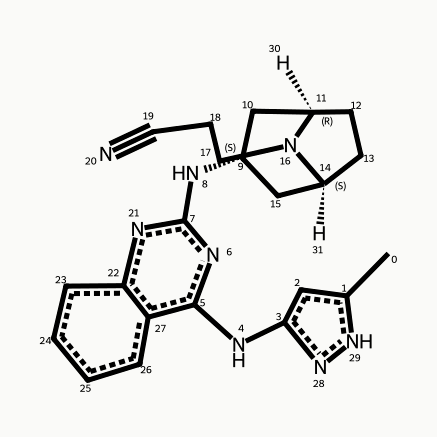 Cc1cc(Nc2nc(N[C@@H]3C[C@H]4CC[C@@H](C3)N4CCC#N)nc3ccccc23)n[nH]1